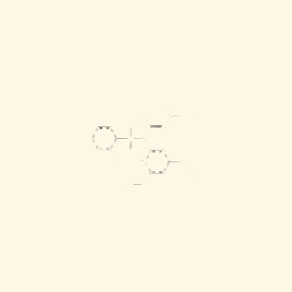 COc1cc(OC)nc(N(C(N)=NN(C)C)S(=O)(=O)c2ccccc2Cl)n1